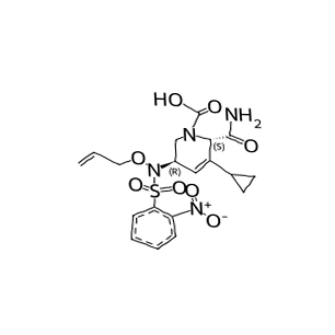 C=CCON([C@@H]1C=C(C2CC2)[C@@H](C(N)=O)N(C(=O)O)C1)S(=O)(=O)c1ccccc1[N+](=O)[O-]